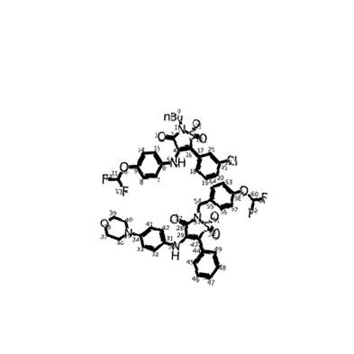 CCCCN1C(=O)C(Nc2ccc(OC(F)F)cc2)=C(c2cccc(Cl)c2)S1(=O)=O.O=C1C(Nc2ccc(N3CCOCC3)cc2)=C(c2ccccc2)S(=O)(=O)N1Cc1ccc(OC(F)F)cc1